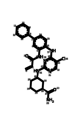 C=CC(=O)Nc1cc(-c2ccccc2)ccc1Nc1nc(N[C@@H]2CCC[C@H](C(N)=O)C2)ncc1Cl